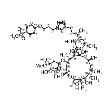 CO[C@]1(C)C[C@H](O[C@H]2[C@H](C)[C@@H](O[C@@H]3O[C@H](C)C[C@H](N(C)CCc4cn(CCCOc5ccc(S(C)(=O)=O)cc5)nn4)[C@H]3O)[C@](C)(O)C[C@@H](C)CN(C)[C@H](C)[C@@H](O)[C@](C)(O)[C@@H](I)OC(=O)[C@@H]2C)O[C@@H](C)[C@@H]1O